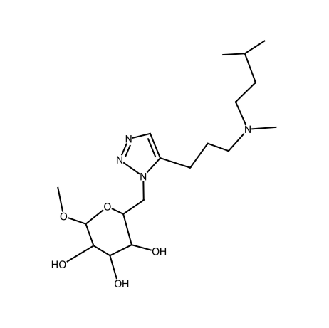 COC1OC(Cn2nncc2CCCN(C)CCC(C)C)C(O)C(O)C1O